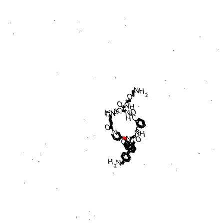 NCCOCCNC(=O)[C@@H]1CCNC(=O)/C=C/C(=O)N2CCC[C@](Cc3ccccc3)(C2)C(=O)N[C@@H](Cc2ccc(-c3ccc(CN)cc3)cc2)C(=O)NCc2ccccc2CC(=O)N1